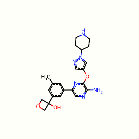 Cc1cc(-c2cnc(N)c(Oc3cnn(C4CCNCC4)c3)n2)cc(C2(O)COC2)c1